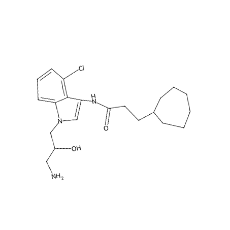 NCC(O)Cn1cc(NC(=O)CCC2CCCCCC2)c2c(Cl)cccc21